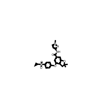 Cn1ccc(NC(=O)c2cc(Oc3ccc(S(=O)(=O)C4CC4)cc3)c3c(c2)OC(C)(C)C3)n1